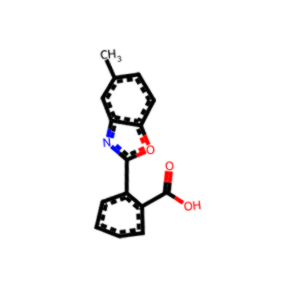 Cc1ccc2oc(-c3ccccc3C(=O)O)nc2c1